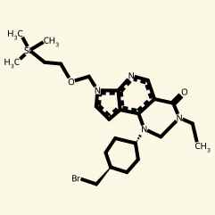 CCN1CN([C@H]2CC[C@H](CBr)CC2)c2c(cnc3c2ccn3COCC[Si](C)(C)C)C1=O